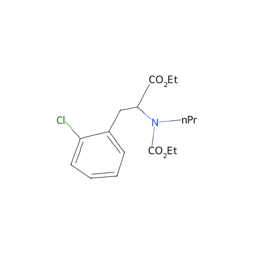 CCCN(C(=O)OCC)C(Cc1ccccc1Cl)C(=O)OCC